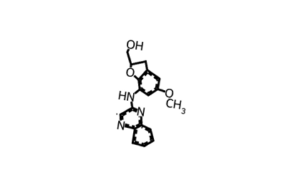 COc1cc2c(c(Nc3[c]nc4ccccc4n3)c1)OC(CO)C2